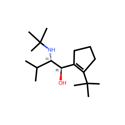 CC(C)[C@H](NC(C)(C)C)[C@H](O)C1=C(C(C)(C)C)CCC1